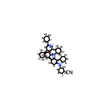 N#Cc1cccc(-n2c3ccccc3c3c2ccc2c4ccccc4n(-c4ccccc4-c4cc(-c5ccccc5)cc(-c5ccccc5)n4)c23)c1